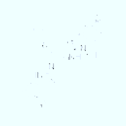 COc1cccc(NC(=S)N(CCNC(=O)N(S)c2ccc(Cl)cc2)CCN2CCCCC2)c1